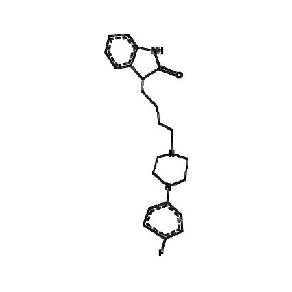 O=C1Nc2ccccc2C1CCCCN1CCN(c2ccc(F)cc2)CC1